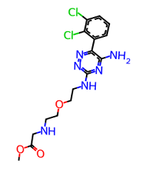 COC(=O)CNCCOCCNc1nnc(-c2cccc(Cl)c2Cl)c(N)n1